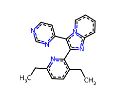 CCc1ccc(CC)c(-c2nc3ccccn3c2-c2ccncn2)n1